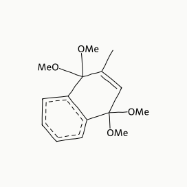 COC1(OC)C=C(C)C(OC)(OC)c2ccccc21